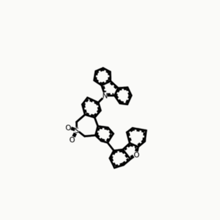 O=S1(=O)Cc2cc(-c3cccc4oc5ccccc5c34)ccc2-c2cc(-n3c4ccccc4c4ccccc43)ccc2C1